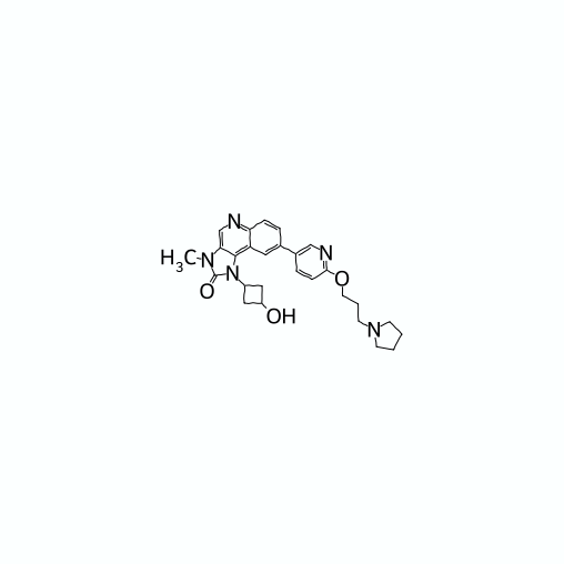 Cn1c(=O)n(C2CC(O)C2)c2c3cc(-c4ccc(OCCCN5CCCC5)nc4)ccc3ncc21